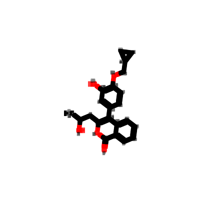 CC(O)Cc1oc(=O)c2ccccc2c1-c1ccc(OCC2CC2)c(O)c1